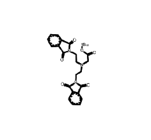 CC(C)(C)OC(=O)CN(CCN1C(=O)c2ccccc2C1=O)CCN1C(=O)c2ccccc2C1=O